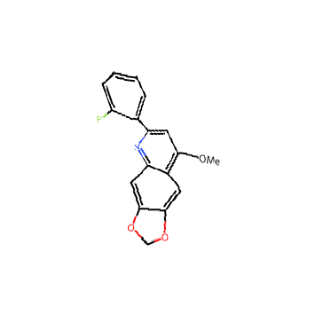 COc1cc(-c2ccccc2F)nc2cc3c(cc12)OCO3